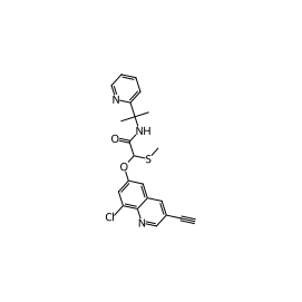 C#Cc1cnc2c(Cl)cc(OC(SC)C(=O)NC(C)(C)c3ccccn3)cc2c1